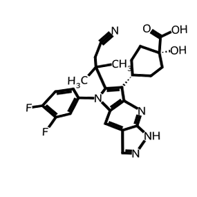 CC(C)(CC#N)c1c([C@H]2CC[C@](O)(C(=O)O)CC2)c2nc3[nH]ncc3cc2n1-c1ccc(F)c(F)c1